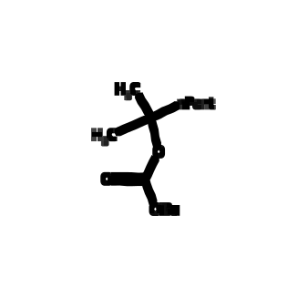 CCCCCC(C)(C)OC(=O)OCC(C)C